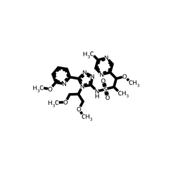 COCC(COC)n1c(NS(=O)(=O)C(C)C(OC)c2cnc(C)cn2)nnc1-c1cccc(OC)n1